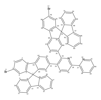 Brc1ccc2c(c1)C1(c3ccccc3-c3ccccc31)c1cc(-c3ccc(-c4ccccn4)nc3-c3ccc4c(c3)C3(c5ccccc5-c5ccccc53)c3cc(Br)ccc3-4)ccc1-2